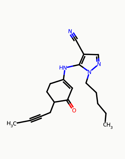 CC#CCC1CCC(Nc2c(C#N)cnn2CCCCC)=CC1=O